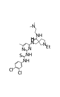 CCN1CCC(CNc2cc(C)nc(NC(=S)Nc3ccc(Cl)c(Cl)c3)n2)(C(=O)NCCN(C)C)C1